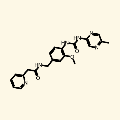 COc1cc(CNC(=O)Cc2ccccn2)ccc1NC(=O)Nc1cnc(C)cn1